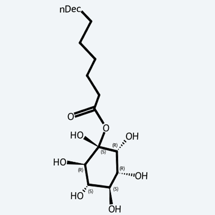 CCCCCCCCCCCCCCCC(=O)O[C@]1(O)[C@H](O)[C@H](O)[C@@H](O)[C@H](O)[C@H]1O